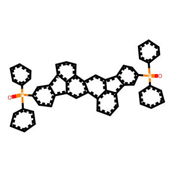 O=P(c1ccccc1)(c1ccccc1)c1ccc2c(c1)c1cccc3c4cc5c6ccc(P(=O)(c7ccccc7)c7ccccc7)cc6c6cccc(c4cc2c13)c65